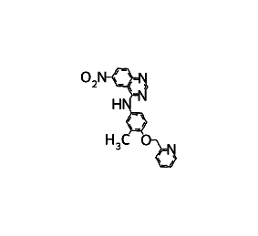 Cc1cc(Nc2ncnc3ccc([N+](=O)[O-])cc23)ccc1OCc1ccccn1